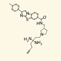 C#CCCC(N)(N)CCN1CCC(CNC(=O)c2ccc3c(c2)sc2nc(-c4ccc(C)cc4)cn23)C1